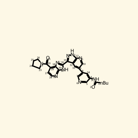 CCCCC(=O)Nc1cncc(-c2cnc3[nH]nc(-c4nc5c(C(=O)N6CCCC6)ccnc5[nH]4)c3c2)c1